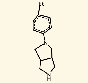 CCc1ccc(N2CC3CNCC3C2)cc1